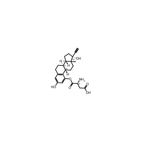 C#C[C@]1(O)CC[C@H]2[C@@H]3CCc4cc(O)cc(OC(=O)[C@@H](N)CC(=O)O)c4[C@H]3CCC21C